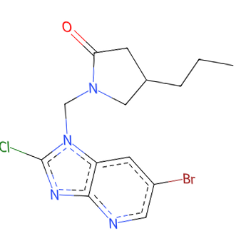 CCCC1CC(=O)N(Cn2c(Cl)nc3ncc(Br)cc32)C1